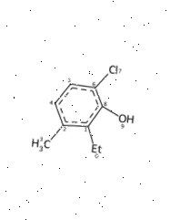 CCc1c(C)ccc(Cl)c1O